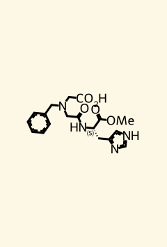 COC(=O)[C@H](Cc1c[nH]cn1)NC(=O)CN(CC(=O)O)Cc1ccccc1